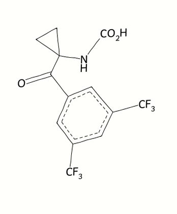 O=C(O)NC1(C(=O)c2cc(C(F)(F)F)cc(C(F)(F)F)c2)CC1